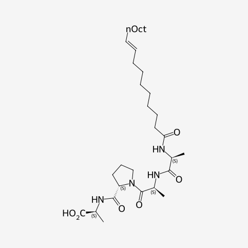 CCCCCCCCC=CCCCCCCCC(=O)N[C@@H](C)C(=O)N[C@@H](C)C(=O)N1CCC[C@H]1C(=O)N[C@@H](C)C(=O)O